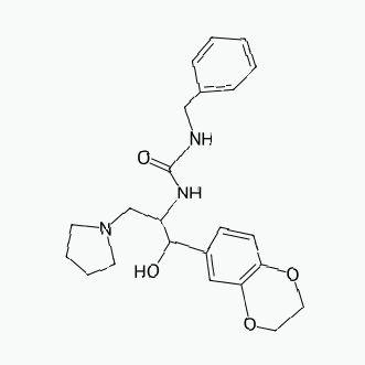 O=C(NCc1ccccc1)NC(CN1CCCC1)C(O)c1ccc2c(c1)OCCO2